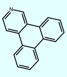 c1ccc2c(c1)c1ccccc1c1cnccc21